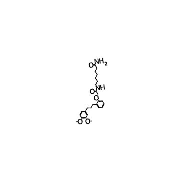 COc1ccc(CCCc2ccccc2OCC(=O)NCCCCCCC(N)=O)cc1OC